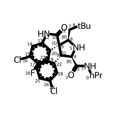 CCCNC(=O)[C@@H]1N[C@H](CC(C)(C)C)[C@]2(C(=O)Nc3cc(Cl)c(F)cc32)[C@H]1c1cccc(Cl)c1